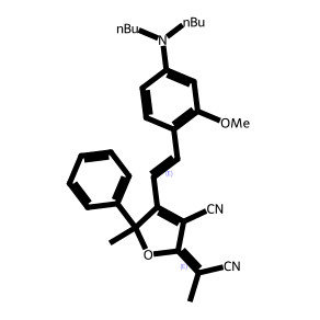 CCCCN(CCCC)c1ccc(/C=C/C2=C(C#N)C(=C(/C)C#N)/OC2(C)c2ccccc2)c(OC)c1